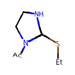 CCSC1NCCN1C(C)=O